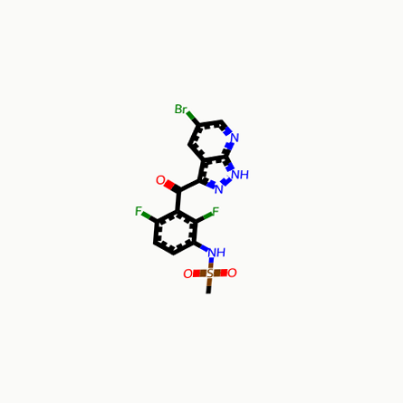 CS(=O)(=O)Nc1ccc(F)c(C(=O)c2n[nH]c3ncc(Br)cc23)c1F